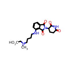 CN(CCCCNc1cccc2c1C(=O)N(C1CCC(=O)NC1=O)C2=O)CC(=O)O